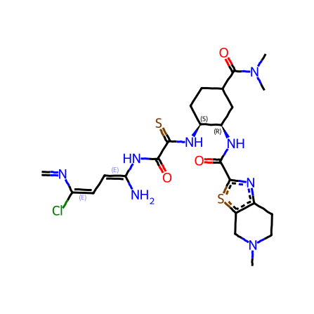 C=N/C(Cl)=C\C=C(/N)NC(=O)C(=S)N[C@H]1CCC(C(=O)N(C)C)C[C@H]1NC(=O)c1nc2c(s1)CN(C)CC2